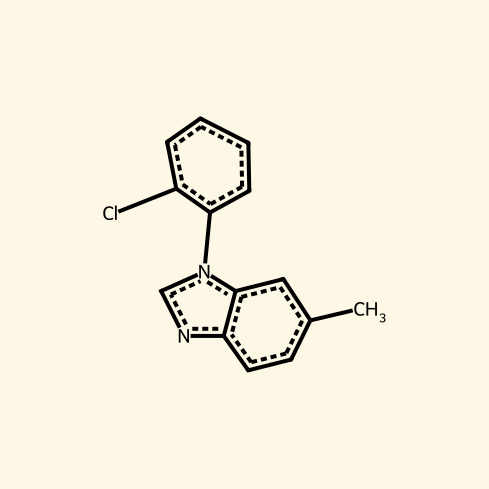 Cc1ccc2ncn(-c3ccccc3Cl)c2c1